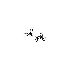 c1ccc(-c2cc(-c3ccc4ccccc4c3)nc(-c3ccc(-n4c5ccccc5c5cc6c(cc54)c4ccccc4n6-c4cccc5ccccc45)cc3)n2)cc1